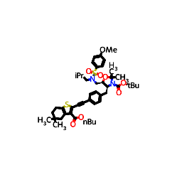 CCCCOC(=O)c1c(C#Cc2ccc(C[C@H]3[C@@H](CN(CC(C)C)S(=O)(=O)c4ccc(OC)cc4)OC(C)(C)N3C(=O)OC(C)(C)C)cc2)sc2c1CC(C)(C)CC2